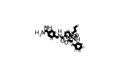 CCCCS(=O)(=O)N[C@H](Cc1ccccc1)C(=O)N1CCC[C@H]1C(=O)NCc1ccc(C(=N)N)cc1